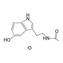 CC(=O)NCCc1c[nH]c2ccc(O)cc12.[O]